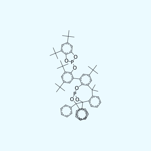 CC(C)(C)c1cc2c(c(C(C)(C)C)c1)OP(Oc1c(-c3cc(C(C)(C)C)cc4c3OP3OC(c5ccccc5)(c5ccccc5)C(c5ccccc5)(O3)c3ccccc3C4(C)C)cc(C(C)(C)C)cc1C(C)(C)C)O2